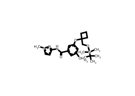 Cn1ccc(NC(=O)c2cc(O)cc(OC3(CO[Si](C)(C)C(C)(C)C)CCC3)c2)n1